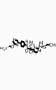 CCOc1cncc(-c2ccc(NC(=O)C(C)(C)c3ccnc(NSCC)n3)cc2)n1